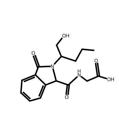 CCCC(CO)N1C(=O)c2ccccc2C1C(=O)NCC(=O)O